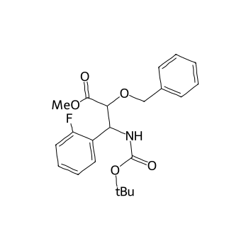 COC(=O)C(OCc1ccccc1)C(NC(=O)OC(C)(C)C)c1ccccc1F